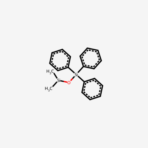 C[Si](C)O[Si](c1ccccc1)(c1ccccc1)c1ccccc1